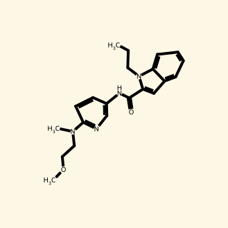 CCCn1c(C(=O)Nc2ccc(N(C)CCOC)nc2)cc2ccccc21